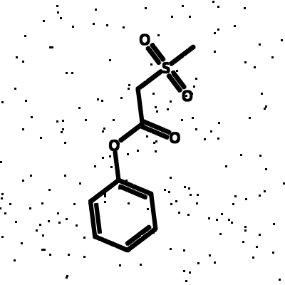 CS(=O)(=O)CC(=O)Oc1ccccc1